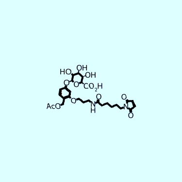 CC(=O)OCc1ccc(O[C@@H]2O[C@H](C(=O)O)[C@@H](O)[C@H](O)C2O)cc1OCCCNC(=O)CCCCCN1C(=O)C=CC1=O